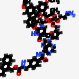 COc1ccc(C(OCC(OC(C)n2cc(C)c(=O)[nH]c2=O)C(C)OP(=O)(OCCN)OC[C@@H]2CCC(n3cnc4c(NC(=O)c5ccc(CNC(=O)OCC6c7ccccc7-c7ccccc76)cc5)ncnc43)O2)(c2ccccc2)c2ccc(OC)cc2)cc1